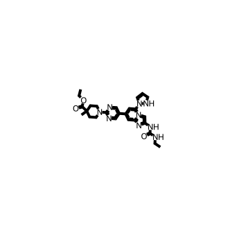 CCNC(=O)Nc1cn2c(N3C=CCN3)cc(-c3cnc(N4CCC(C)(C(=O)OCC)CC4)nc3)cc2n1